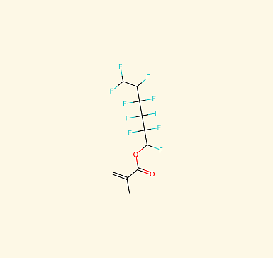 C=C(C)C(=O)OC(F)C(F)(F)C(F)(F)C(F)(F)C(F)C(F)F